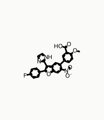 COc1ccc(-c2cc3c(-c4ncc[nH]4)c(-c4ccc(F)cc4)oc3cc2[N+](=O)[O-])cc1C(=O)O